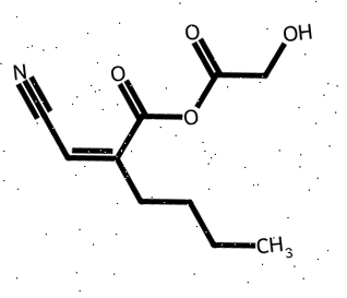 CCCCC(=CC#N)C(=O)OC(=O)CO